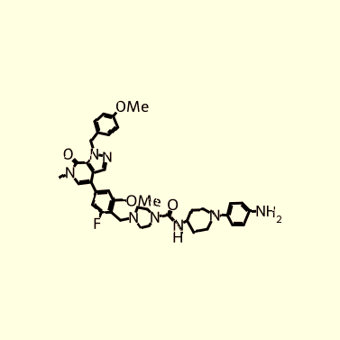 COc1ccc(Cn2ncc3c(-c4cc(F)c(CN5CCN(C(=O)NC6CCN(c7ccc(N)cc7)CC6)CC5)c(OC)c4)cn(C)c(=O)c32)cc1